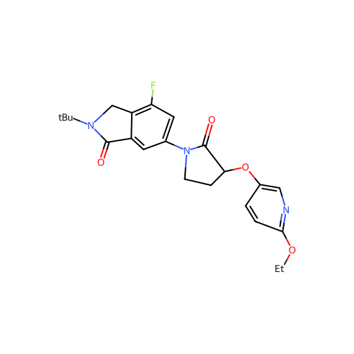 CCOc1ccc(OC2CCN(c3cc(F)c4c(c3)C(=O)N(C(C)(C)C)C4)C2=O)cn1